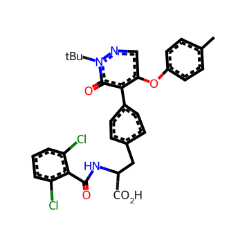 Cc1ccc(Oc2cnn(C(C)(C)C)c(=O)c2-c2ccc(CC(NC(=O)c3c(Cl)cccc3Cl)C(=O)O)cc2)cc1